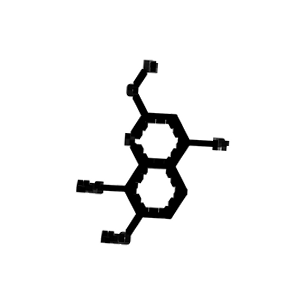 CCOc1cc(C(C)C)c2ccc(OC)c(SC)c2n1